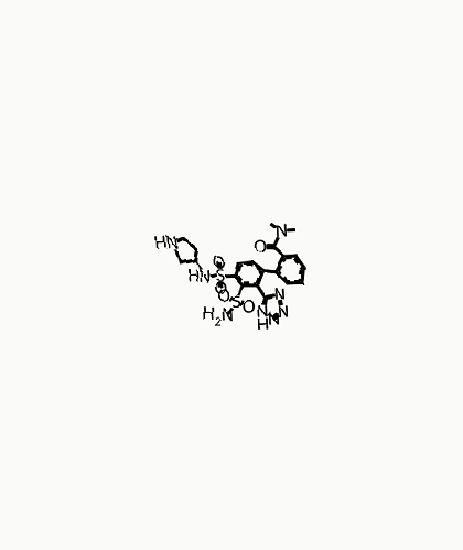 CN(C)C(=O)c1ccccc1-c1ccc(S(=O)(=O)N[C@@H]2CCNC2)c(S(N)(=O)=O)c1-c1nnn[nH]1